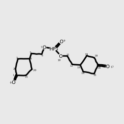 O=C1CCC(CCO[PH](=O)OCCC2CCC(=O)CC2)CC1